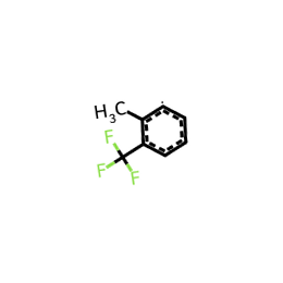 Cc1[c]cccc1C(F)(F)F